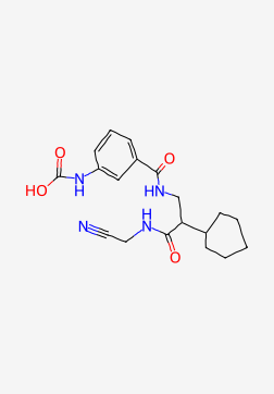 N#CCNC(=O)C(CNC(=O)c1cccc(NC(=O)O)c1)C1CCCCC1